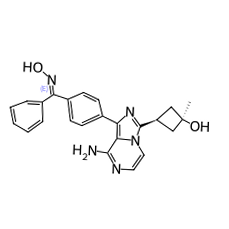 C[C@]1(O)C[C@@H](c2nc(-c3ccc(/C(=N/O)c4ccccc4)cc3)c3c(N)nccn32)C1